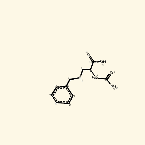 NC(=O)NC(CSCc1ccccc1)C(=O)O